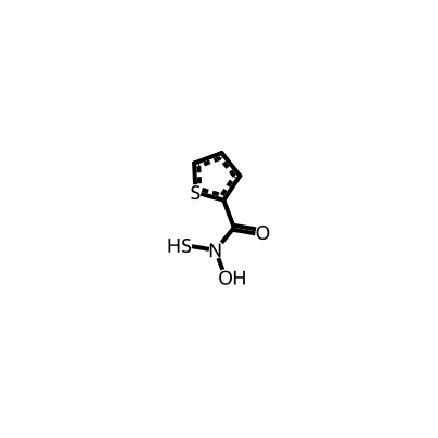 O=C(c1cccs1)N(O)S